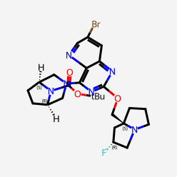 CC(C)(C)OC(=O)N1[C@@H]2CC[C@H]1CN(c1nc(OC[C@@]34CCCN3C[C@H](F)C4)nc3cc(Br)cnc13)C2